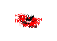 CC[C@H](C)[C@H](C[C@H](O)CC(=O)OC1CC(O)OC(OC(=O)[C@]23CCC(C)(C)CC2C2=CCC4[C@@]5(C)CC[C@H](OC6OC(C(=O)O)C(O)C(OC7OCC(O)C(O)C7O)C6OC6OC(CO)C(O)C(O)C6O)[C@@](C)(C=O)C5CC[C@@]4(C)[C@]2(C)C[C@H]3O)C1OC1OC(C)C(OC2OCC(O)C(OC)C2O)C(O)C1O)OC(=O)C[C@@H](O)C[C@H](OC1OC(CO)C(O)C1O)[C@@H](C)CC